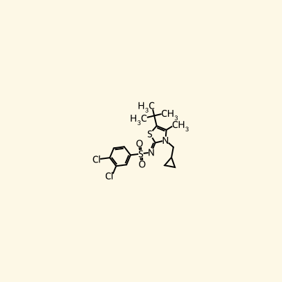 Cc1c(C(C)(C)C)s/c(=N\S(=O)(=O)c2ccc(Cl)c(Cl)c2)n1CC1CC1